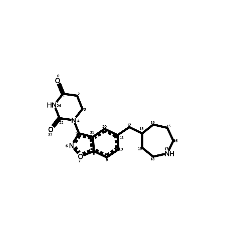 O=C1CCN(c2noc3ccc(CC4CCCNCC4)cc23)C(=O)N1